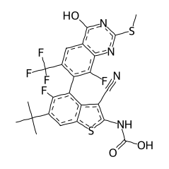 CSc1nc(O)c2cc(C(F)(F)F)c(-c3c(F)c(C(C)(C)C)cc4sc(NC(=O)O)c(C#N)c34)c(F)c2n1